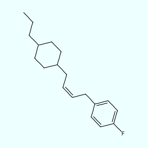 CCCC1CCC(C/C=C\Cc2ccc(F)cc2)CC1